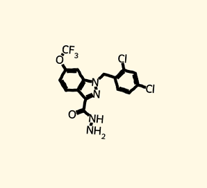 NNC(=O)c1nn(Cc2ccc(Cl)cc2Cl)c2cc(OC(F)(F)F)ccc12